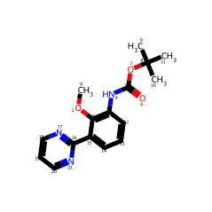 COc1c(NC(=O)OC(C)(C)C)cccc1-c1ncccn1